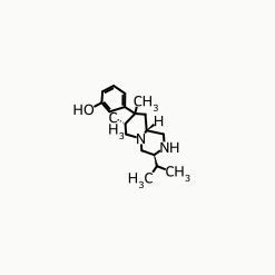 CC(C)[C@H]1CN2C[C@H](C)C(C)(c3cccc(O)c3)C[C@@H]2CN1